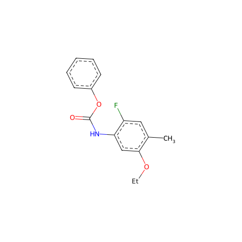 CCOc1cc(NC(=O)Oc2ccccc2)c(F)cc1C